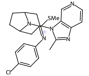 CS/C(=N/c1ccc(Cl)cc1)N1C2CCC1CC(n1c(C)nc3ccncc31)C2